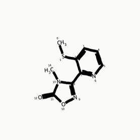 CSc1cccnc1-c1noc(=O)n1C